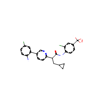 Nc1ccc(Cl)cc1-c1ccc(C(CC2CC2)C(=O)Nc2ccc(C3(O)OO3)cc2Cl)nc1